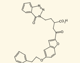 O=C(CC(CCn1nnc2ccccc2c1=O)C(=O)O)c1cc2cc(OCCc3ccccc3)ccc2o1